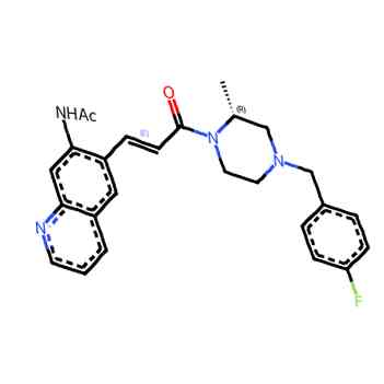 CC(=O)Nc1cc2ncccc2cc1/C=C/C(=O)N1CCN(Cc2ccc(F)cc2)C[C@H]1C